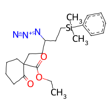 CCOC(=O)C1(CCC(CC[Si](C)(C)c2ccccc2)N=[N+]=[N-])CCCCC1=O